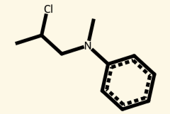 CC(Cl)CN(C)c1ccccc1